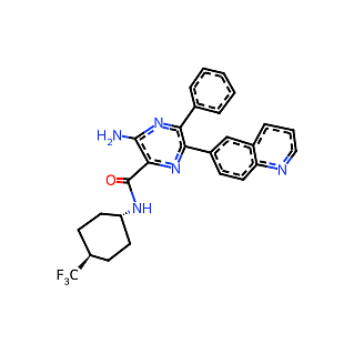 Nc1nc(-c2ccccc2)c(-c2ccc3ncccc3c2)nc1C(=O)N[C@H]1CC[C@H](C(F)(F)F)CC1